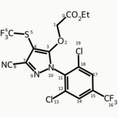 CCOC(=O)COc1c(SC(F)(F)F)c(C#N)nn1-c1c(Cl)cc(C(F)(F)F)cc1Cl